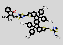 C=Nc1scnc1SCc1cc2ccc3c(c2s1)-c1cc2c(cc1C3(c1ccc(C)cc1)c1ccc(C)cc1)-c1c(ccc3cc(-c4nc5sc(/C=C6\C(=O)c7ccccc7C6=C(C#N)C#N)nc5s4)sc13)C2(c1ccc(C)cc1)c1ccc(C)cc1